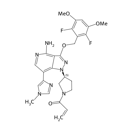 C=CC(=O)N1CC[C@H](n2nc(OCc3c(F)c(OC)cc(OC)c3F)c3c(N)ncc(-c4cn(C)cn4)c32)C1